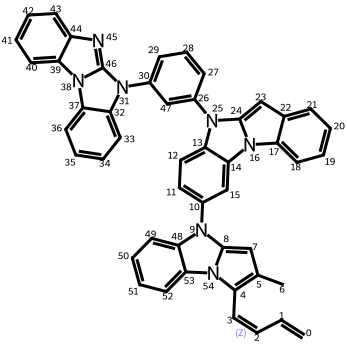 C=C/C=C\c1c(C)cc2n(-c3ccc4c(c3)n3c5ccccc5cc3n4-c3cccc(-n4c5ccccc5n5c6ccccc6nc45)c3)c3ccccc3n12